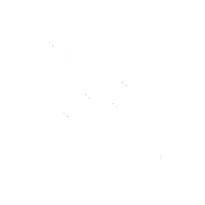 CN(C(=O)c1cn2c(-c3ccc(C(F)(F)F)cc3)cnc2cn1)c1ccc(S(N)(=O)=O)cc1